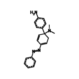 CN(C)C1(c2ccc(N)cc2)C=CC(N=Nc2ccccc2)=CC1